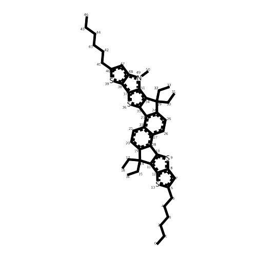 CCCCCCc1cc2sc3c(c2s1)C(CC)(CC)c1ccc2c4c(ccc2c1-3)C(CC)(CC)c1c-4sc2c3sc(CCCCCC)cc3n(C)c12